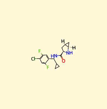 O=C(NC(c1cc(F)c(Cl)cc1F)C1CC1)[C@H]1C[C@H]2C[C@H]2N1